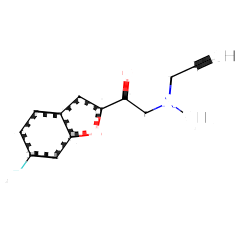 C#CCN(C)CC(=O)c1cc2ccc(F)cc2o1